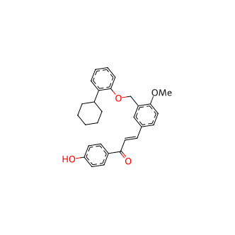 COc1ccc(/C=C/C(=O)c2ccc(O)cc2)cc1COc1ccccc1C1CCCCC1